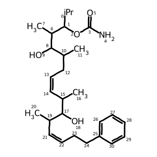 CC(C)C(OC(N)=O)C(C)C(O)C(C)C/C=C\C(C)C(O)C(C)/C=C\CCc1ccccc1